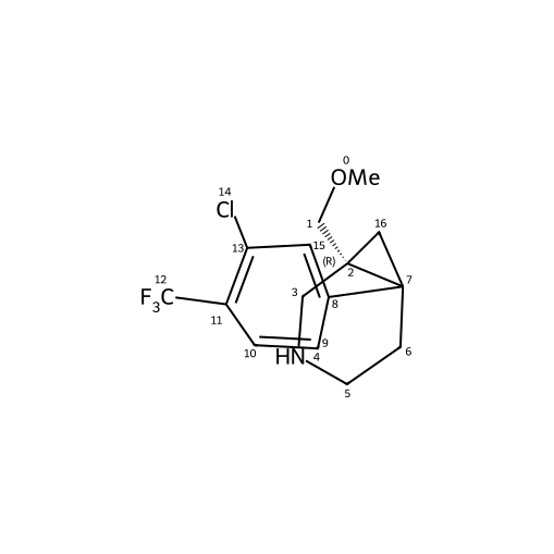 COC[C@@]12CNCCC1(c1ccc(C(F)(F)F)c(Cl)c1)C2